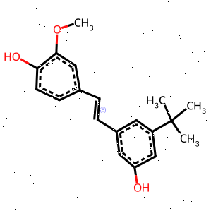 COc1cc(/C=C/c2cc(O)cc(C(C)(C)C)c2)ccc1O